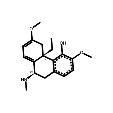 CC[C@]12CC(OC)=CC=C1[C@H](NC)Cc1ccc(OC)c(O)c12